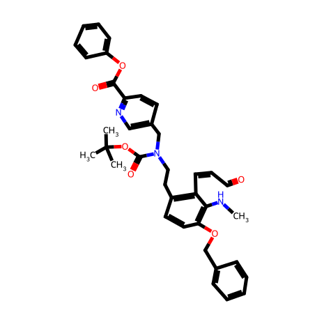 CNc1c(OCc2ccccc2)ccc(CCN(Cc2ccc(C(=O)Oc3ccccc3)nc2)C(=O)OC(C)(C)C)c1/C=C\C=O